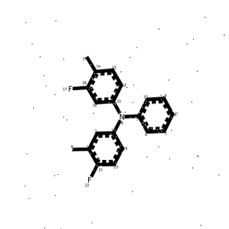 Cc1cc(N(c2ccccc2)c2ccc(C)c(F)c2)ccc1F